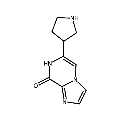 O=c1[nH]c(C2CCNC2)cn2ccnc12